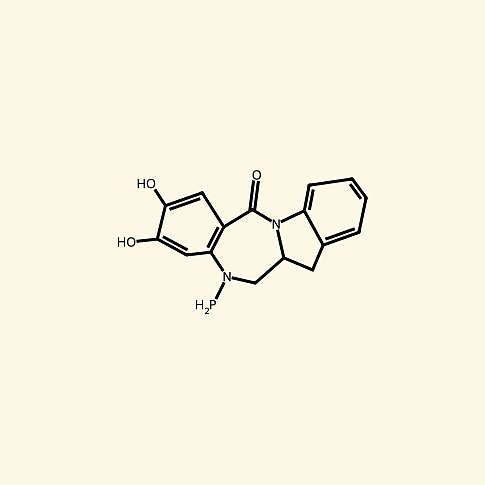 O=C1c2cc(O)c(O)cc2N(P)CC2Cc3ccccc3N12